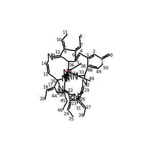 C=C/C=C1/C=C2\C(=CC)C(=C\C)/C3=N/C=CC4(/C(C)=C/C)/N=c5c(=C/C)/c(=C\C)c(/n/5C)=N/C(NC5(C23)N(C)C(C)=NC(C(C)CC)N45)/C1=C/C